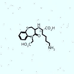 NCCCC[C@H](NC1CSc2ccccc2N(CC(=O)O)C1=O)C(=O)O